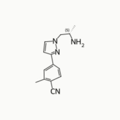 Cc1cc(-c2ccn(C[C@H](C)N)n2)ccc1C#N